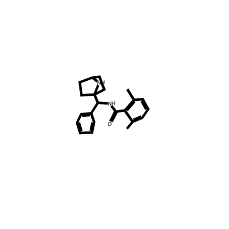 Cc1cccc(C)c1C(=O)NC(c1ccccc1)C12CCC(CC1)N2